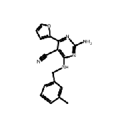 Cc1cccc(CNc2nc(N)nc(-c3ccco3)c2C#N)c1